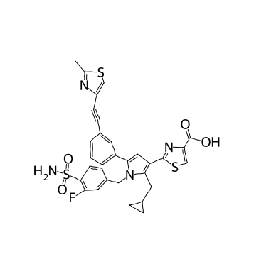 Cc1nc(C#Cc2cccc(-c3cc(-c4nc(C(=O)O)cs4)c(CC4CC4)n3Cc3ccc(S(N)(=O)=O)c(F)c3)c2)cs1